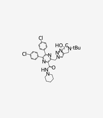 CC(C)(C)N(Cc1cn(Cc2nc(-c3ccc(Cl)cc3)c(-c3ccc(Cl)cc3)nc2C(=O)NN2CCCCC2)nn1)C(=O)O